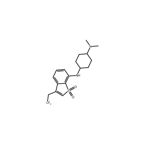 CN(C)C1CCC(Nc2cccc3c2S(=O)(=O)C=C3CC(F)(F)F)CC1